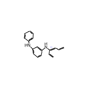 C=C/C=C(\C=C)Nc1cccc(Nc2ccccc2)c1